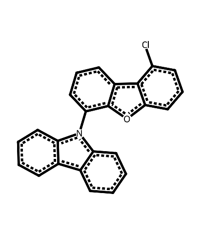 Clc1cccc2oc3c(-n4c5ccccc5c5ccccc54)cccc3c12